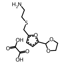 NCCSCc1ccc(C2OCCO2)o1.O=C(O)C(=O)O